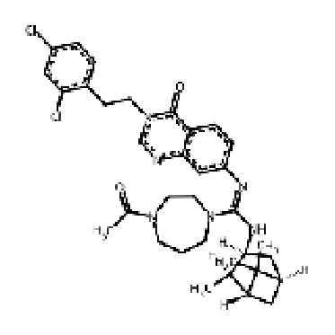 CC(=O)N1CCCN(C(=Nc2ccc3c(=O)n(CCc4ccc(Cl)cc4Cl)cnc3c2)N[C@H]2C[C@H]3C[C@H]([C@H]2C)C3(C)C)CC1